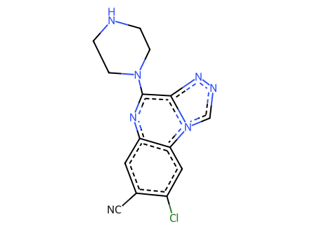 N#Cc1cc2nc(N3CCNCC3)c3nncn3c2cc1Cl